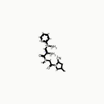 CC1CC(C#N)N(C(=O)CN(C)C(=O)/C(N)=C/N(N)c2ccccn2)C1